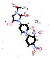 CC(=O)N1CC(O)N(c2cc[n+](-c3ccc([N+](=O)[O-])cc3[N+](=O)[O-])cc2)C1O.[Cl-]